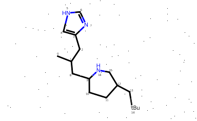 CC(Cc1c[nH]cn1)CC1CCC(CC(C)(C)C)CN1